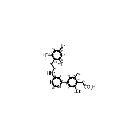 CCc1cc(-c2cc(NCCc3c(F)cc(Br)cc3F)ncn2)cc(C)c1CC(=O)O